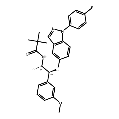 COc1cccc([C@H](Oc2ccc3c(cnn3-c3ccc(F)cc3)c2)[C@H](C)NC(=O)C(C)(C)C)c1